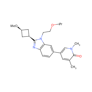 CO[C@H]1C[C@@H](c2nc3ccc(-c4cc(C)c(=O)n(C)c4)cc3n2CCOC(C)C)C1